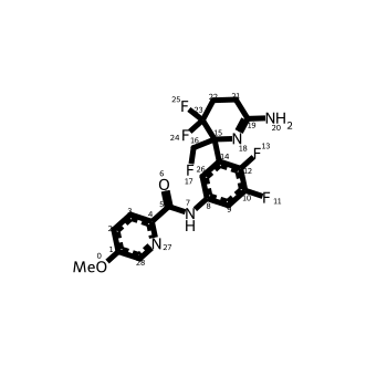 COc1ccc(C(=O)Nc2cc(F)c(F)c(C3(CF)N=C(N)CCC3(F)F)c2)nc1